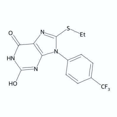 CCSc1nc2c(=O)[nH]c(O)nc2n1-c1ccc(C(F)(F)F)cc1